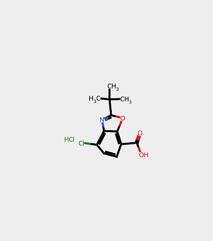 CC(C)(C)c1nc2c(Cl)ccc(C(=O)O)c2o1.Cl